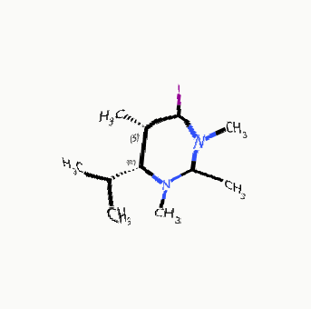 CC(C)[C@@H]1[C@H](C)C(I)N(C)C(C)N1C